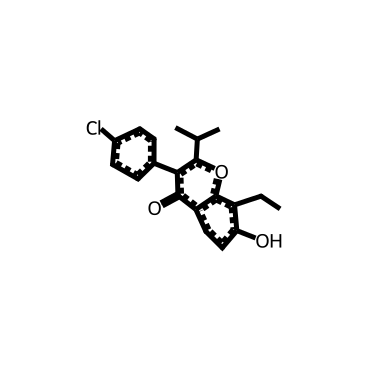 CCc1c(O)ccc2c(=O)c(-c3ccc(Cl)cc3)c(C(C)C)oc12